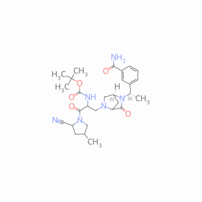 CC1CC(C#N)N(C(=O)C(CN2C[C@@H]3CC2C(=O)N3[C@@H](C)c2cccc(C(N)=O)c2)NC(=O)OC(C)(C)C)C1